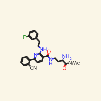 CNC(=O)[C@H](N)CCNC(=O)c1ccc(-c2ccccc2C#N)nc1NCCc1cccc(F)c1